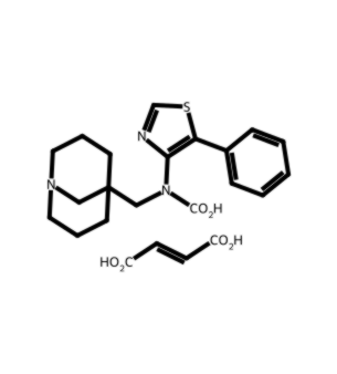 O=C(O)C=CC(=O)O.O=C(O)N(CC12CCCN(CCC1)C2)c1ncsc1-c1ccccc1